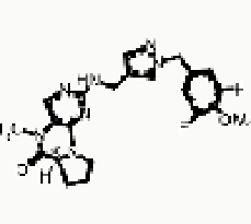 COc1c(F)cc(Cn2cc(CNc3ncc4c(n3)N3CCC[C@H]3C(=O)N4C)cn2)cc1F